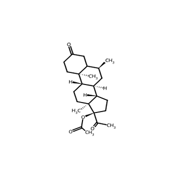 CC(=O)O[C@]1(C(C)=O)CC[C@H]2[C@@H]3C[C@H](C)C4CC(=O)CC[C@]4(C)[C@H]3CC[C@@]21C